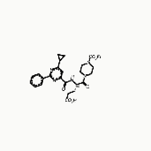 CCOC(=O)N1CCN(C(=O)[C@H](CCC(=O)O)NC(=O)c2cc(C3CC3)nc(-c3ccccc3)n2)CC1